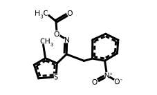 CC(=O)ON=C(Cc1ccccc1[N+](=O)[O-])c1sccc1C